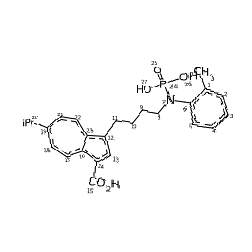 Cc1ccccc1N(CCCCc1cc(C(=O)O)c2ccc(C(C)C)ccc1-2)P(=O)(O)O